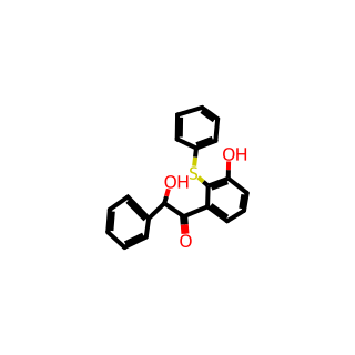 O=C(c1cccc(O)c1Sc1ccccc1)C(O)c1ccccc1